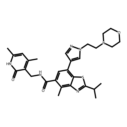 Cc1cc(C)c(CNC(=O)c2cc(-c3cnn(CCN4CCOCC4)c3)c3sc(C(C)C)nc3c2C)c(=O)[nH]1